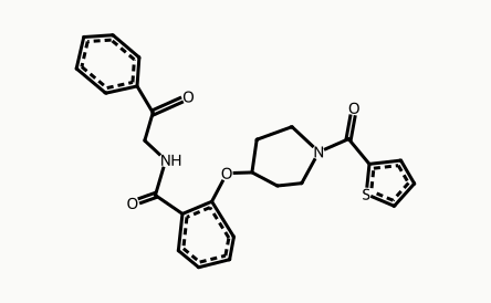 O=C(CNC(=O)c1ccccc1OC1CCN(C(=O)c2cccs2)CC1)c1ccccc1